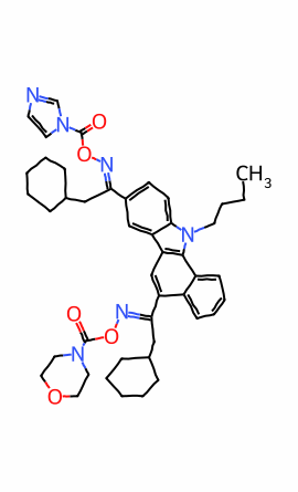 CCCCn1c2ccc(/C(CC3CCCCC3)=N/OC(=O)n3ccnc3)cc2c2cc(/C(CC3CCCCC3)=N/OC(=O)N3CCOCC3)c3ccccc3c21